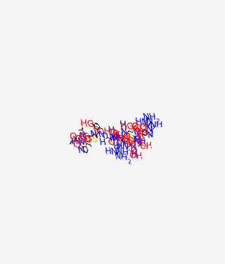 CCCC(=O)OCN(C(=O)[C@@H](NC(=O)[C@H]1CCCCN1C)C(C)CC)[C@H](C[C@@H](OC(C)=O)c1nc(C(=O)N[C@@H](Cc2ccc(O)cc2)C[C@H](C)C(=O)NNC(=O)OCCSSC[C@H](NC(=O)[C@H](CC(=O)O)NC(=O)[C@H](CC(=O)O)NC(=O)[C@H](CCCNC(=N)N)NC(=O)[C@H](CC(=O)O)NC(=O)CC[C@H](NC(=O)c2ccc(N(C)CC3CNc4nc(N)[nH]c(=O)c4N3C)cc2)C(=O)O)C(=O)O)cs1)C(C)C